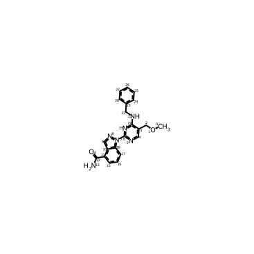 COCc1cnc(-n2ncc3c(C(N)=O)cccc32)nc1NCc1ccccc1